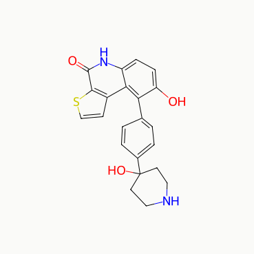 O=c1[nH]c2ccc(O)c(-c3ccc(C4(O)CCNCC4)cc3)c2c2ccsc12